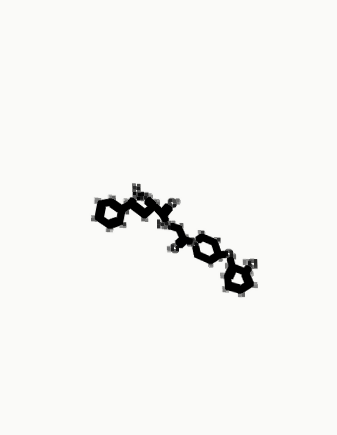 O=C(NCC(=O)N1CCC(Oc2ccccc2Cl)CC1)c1cc(-c2ccccc2)[nH]n1